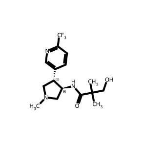 CN1C[C@H](NC(=O)C(C)(C)CO)[C@@H](c2ccc(C(F)(F)F)nc2)C1